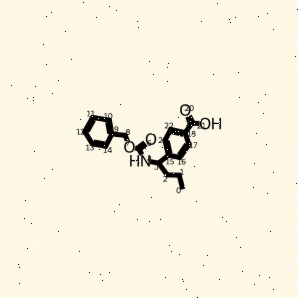 CCCC(NC(=O)OCc1ccccc1)c1ccc(C(=O)O)cc1